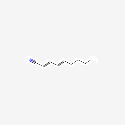 CCCCC=CC=CC#N